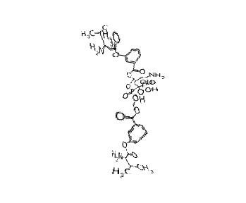 CC(C)[C@H](N)C(=O)Oc1cccc(C(=O)OCOP(=O)(OCOC(=O)c2cccc(OC(=O)[C@@H](N)C(C)C)c2)C(O)(CCCN)P(=O)(O)O)c1